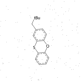 CC(C)(C)Cc1ccc2c(c1)Sc1ccccc1O2